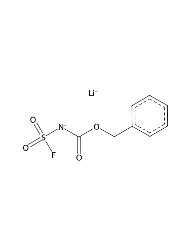 O=C([N-]S(=O)(=O)F)OCc1ccccc1.[Li+]